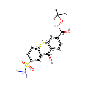 CN(C)S(=O)(=O)c1ccc2sc3cc(C(=O)OOC(C)(C)C)ccc3c(=O)c2c1